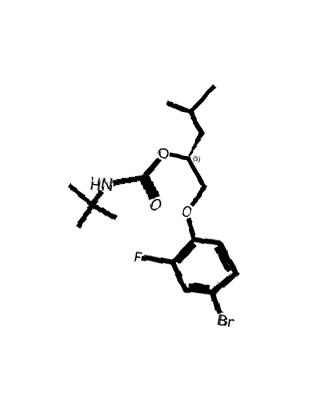 CC(C)C[C@@H](COc1ccc(Br)cc1F)OC(=O)NC(C)(C)C